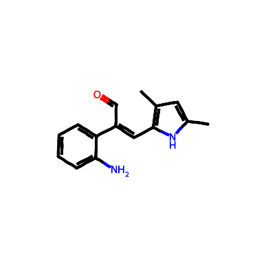 Cc1cc(C)c(/C=C(\C=O)c2ccccc2N)[nH]1